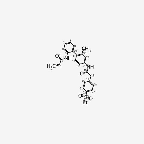 C=CC(=O)Nc1ccccc1-c1ccc(NC(=O)Cc2ccc(S(=O)(=O)CC)cc2)cc1C